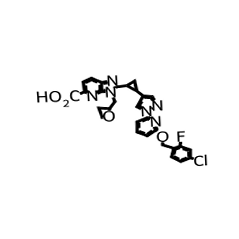 O=C(O)c1ccc2nc(C3CC3c3cnn(-c4cccc(OCc5ccc(Cl)cc5F)n4)c3)n(CC3CCO3)c2n1